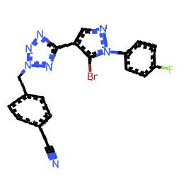 N#Cc1ccc(Cn2nnc(-c3cnn(-c4ccc(F)cc4)c3Br)n2)cc1